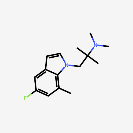 Cc1cc(F)cc2ccn(CC(C)(C)N(C)C)c12